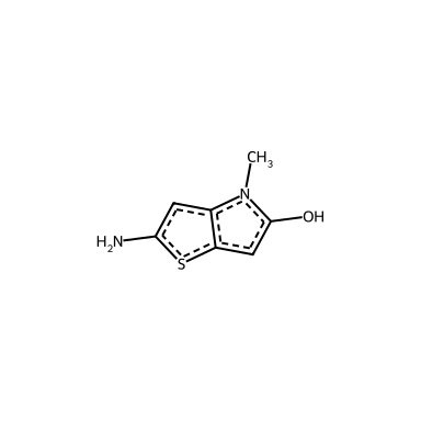 Cn1c(O)cc2sc(N)cc21